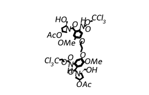 COc1cc(C(=O)N2C[C@H](OC(C)=O)C[C@H]2CO)c(NC(=O)OCC(Cl)(Cl)Cl)cc1OCCCOc1cc(NC(=O)OCC(Cl)(Cl)Cl)c(C(=O)N2C[C@H](OC(C)=O)C[C@H]2CO)cc1OC